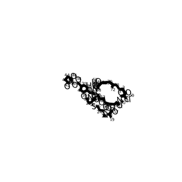 COc1cc2cc(c1Cl)N(C)C(=O)C[C@H](OC(=O)C(C)N(C)C(=O)CCSC1CC(=O)N(CC3CCC(C(=O)ON4C(=O)CCC4=O)CC3)C1=O)[C@@]1(C)CC(C)(O1)[C@@H]1C[C@@](O)(NC(=O)O1)[C@H](OC)/C=C/C=C(\C)C2